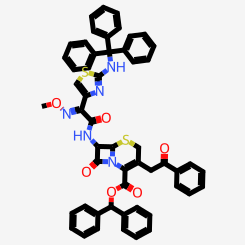 CON=C(C(=O)NC1C(=O)N2C(C(=O)OC(c3ccccc3)c3ccccc3)=C(CC(=O)c3ccccc3)CSC12)c1csc(NC(c2ccccc2)(c2ccccc2)c2ccccc2)n1